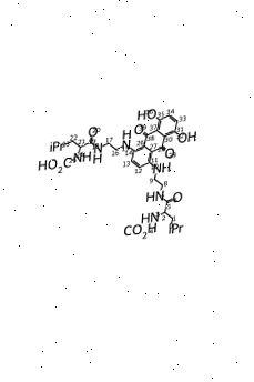 CC(C)CC(NC(=O)O)C(=O)NCCNc1ccc(NCCNC(=O)C(CC(C)C)NC(=O)O)c2c1C(=O)c1c(O)ccc(O)c1C2=O